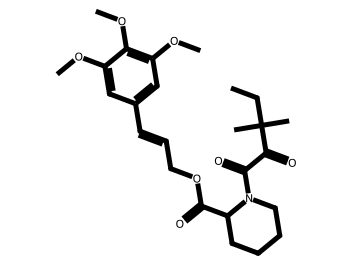 CCC(C)(C)C(=O)C(=O)N1CCCCC1C(=O)OC/C=C/c1cc(OC)c(OC)c(OC)c1